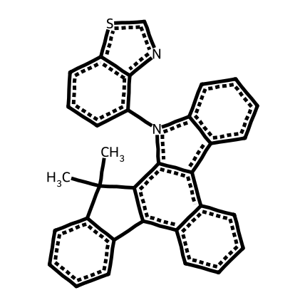 CC1(C)c2ccccc2-c2c1c1c(c3ccccc23)c2ccccc2n1-c1cccc2scnc12